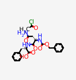 CC(=O)Cl.NC(=O)C[C@H](NC(=O)OCc1ccccc1)C(=O)N[C@@H](Cc1ccccc1)C(=O)O